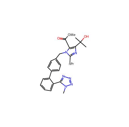 CCCc1nc(C(C)(C)O)c(C(=O)OC)n1Cc1ccc(-c2ccccc2-c2nnnn2C)cc1